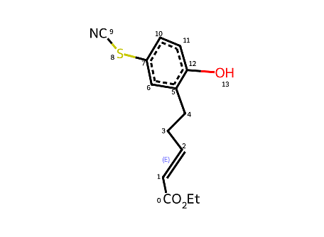 CCOC(=O)/C=C/CCc1cc(SC#N)ccc1O